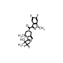 C[C@H]1CN(C(=O)c2nn(C)c3cc(F)c(F)cc23)Cc2cnc(C(C)(O)C(F)(F)F)n21